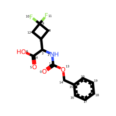 O=C(NC(C(=O)O)C1CC(F)(F)C1)OCc1ccccc1